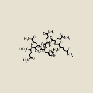 NC(=O)CC[C@H](NC(=O)[C@H](CCC(N)=O)NC(=O)[C@H](Cc1c[nH]cn1)NC(=O)[C@H](CCC(N)=O)NC(=O)[C@H](CCC(N)=O)NC(=O)[C@@H](N)CCC(N)=O)C(=O)O